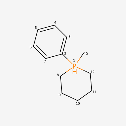 C[PH]1(c2ccccc2)CCCCC1